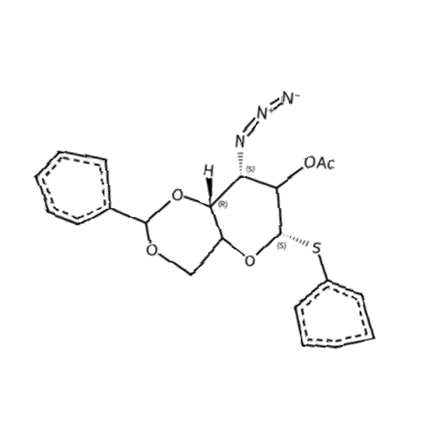 CC(=O)OC1[C@@H](N=[N+]=[N-])[C@H]2OC(c3ccccc3)OCC2O[C@H]1Sc1ccccc1